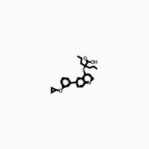 CCCC(CCC)(Sc1ccnc2ccc(-c3cccc(OC4CC4)c3)cc12)C(=O)O